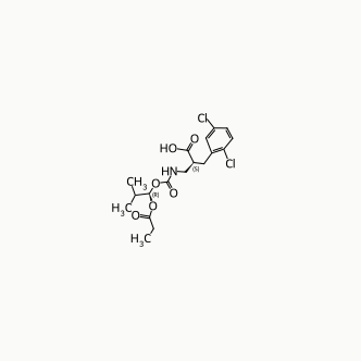 CCC(=O)O[C@H](OC(=O)NC[C@H](Cc1cc(Cl)ccc1Cl)C(=O)O)C(C)C